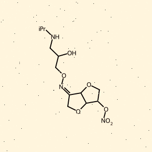 CC(C)NCC(O)CON=C1COC2C(O[N+](=O)[O-])COC12